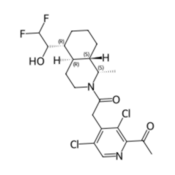 CC(=O)c1ncc(Cl)c(CC(=O)N2CC[C@@H]3[C@H](CCC[C@H]3C(O)C(F)F)[C@@H]2C)c1Cl